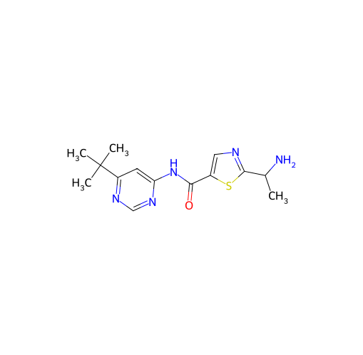 CC(N)c1ncc(C(=O)Nc2cc(C(C)(C)C)ncn2)s1